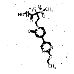 CCOc1ncc(-c2ccn(CC[C@](C)(C(=O)NO)S(C)(=O)=O)c(=O)c2)cn1